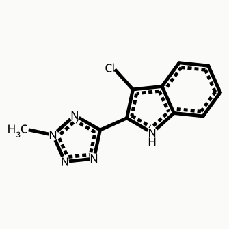 Cn1nnc(-c2[nH]c3ccccc3c2Cl)n1